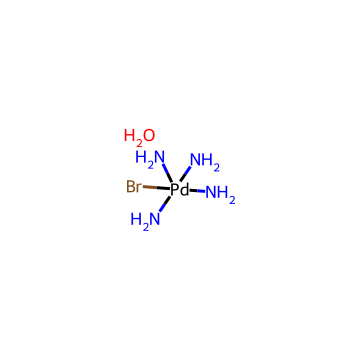 O.[NH2][Pd]([NH2])([NH2])([NH2])[Br]